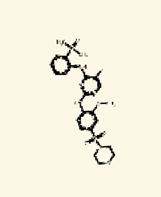 COc1cc(S(=O)(=O)N2CCOCC2)ccc1Nc1ncc(Cl)c(Nc2ccccc2P(C)(C)=O)n1